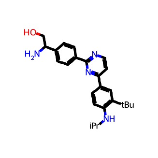 CC(C)Nc1ccc(-c2ccnc(-c3ccc(C(N)CO)cc3)n2)cc1C(C)(C)C